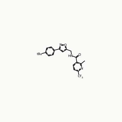 Cc1nc(C(F)(F)F)ccc1C(=O)NCc1cc(-c2ccc(C(C)(C)C)cc2)no1